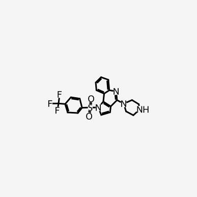 O=S(=O)(c1ccc(C(F)(F)F)cc1)n1ccc2c(N3CCNCC3)nc3ccccc3c21